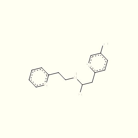 CCCc1ccc(CC(CC)NCCc2ccccn2)nc1